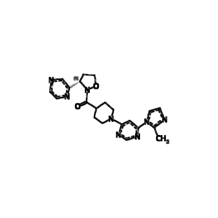 Cc1nccn1-c1cc(N2CCC(C(=O)N3OCC[C@H]3c3cnccn3)CC2)ncn1